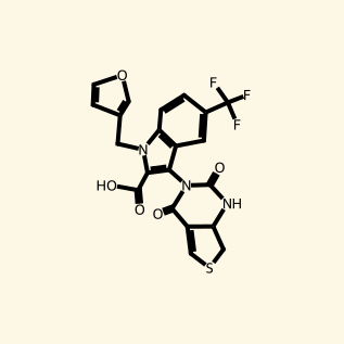 O=C(O)c1c(N2C(=O)NC3CSC=C3C2=O)c2cc(C(F)(F)F)ccc2n1Cc1ccoc1